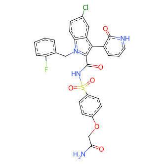 NC(=O)COc1ccc(S(=O)(=O)NC(=O)c2c(-c3ccc[nH]c3=O)c3cc(Cl)ccc3n2Cc2ccccc2F)cc1